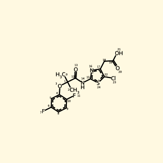 CC(C)(Oc1cc(F)ccc1F)C(=O)Nc1nc(CC(=O)O)c(Cl)s1